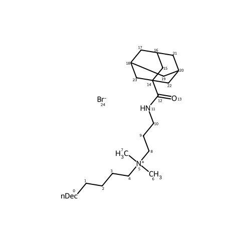 CCCCCCCCCCCCCC[N+](C)(C)CCCNC(=O)C12CC3CC(CC(C3)C1)C2.[Br-]